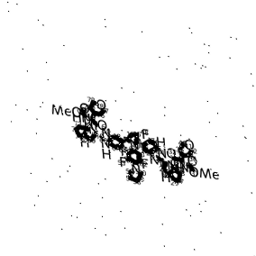 COC(=O)NC(C(=O)N1[C@H](c2nc3cc([C@H]4CC[C@H](c5cc6nc([C@@H]7C[C@@H]8CCC[C@@H]8N7C(=O)[C@@H](NC(=O)OC)C7CCOCC7)[nH]c6cc5F)N4c4cc(F)c(N5CCCCC5)c(F)c4)c(F)cc3[nH]2)C[C@@H]2CCC[C@@H]21)C1CCOCC1